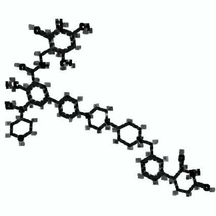 CCN(c1cc(-c2ccc(N3CCN(C4CCN(Cc5cccc(C6CCC(=O)NC6=O)c5)CC4)CC3)cc2)cc(C(=O)NCc2c(C)cc(C)[nH]c2=O)c1C)C1CCOCC1